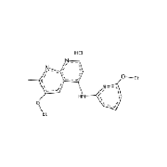 CCOc1cccc(Nc2ccnc3nc(C)c(OCC)cc23)n1.Cl